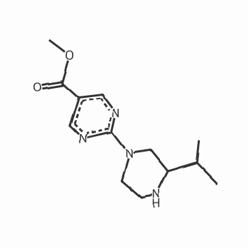 COC(=O)c1cnc(N2CCNC(C(C)C)C2)nc1